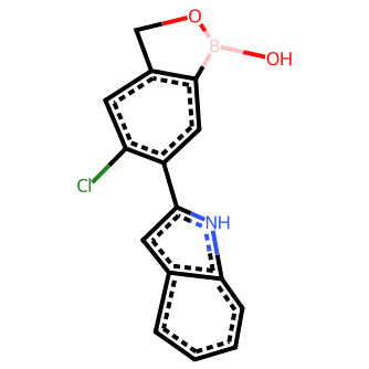 OB1OCc2cc(Cl)c(-c3cc4ccccc4[nH]3)cc21